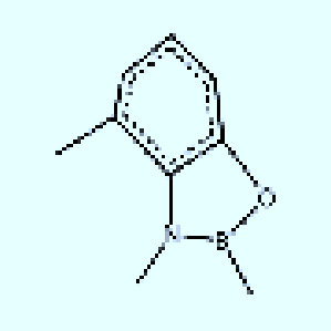 CB1Oc2cccc(C)c2N1C